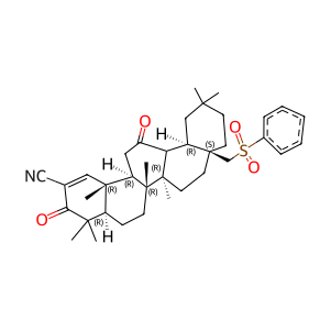 CC1(C)CC[C@]2(CS(=O)(=O)c3ccccc3)CC[C@]3(C)C(C(=O)C[C@@H]4[C@@]5(C)C=C(C#N)C(=O)C(C)(C)[C@@H]5CC[C@]43C)[C@H]2C1